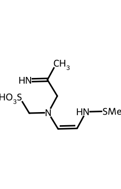 CSN/C=C\N(CC(C)=N)CS(=O)(=O)O